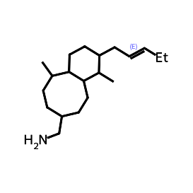 CC/C=C/CC1CCC2C(C)CCC(CN)CCC2C1C